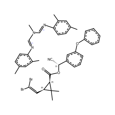 CC1(C)[C@H](C(=O)O[C@H](C#N)c2cccc(Oc3ccccc3)c2)[C@@H]1C=C(Br)Br.Cc1ccc(/N=C/N(C)/C=N/c2ccc(C)cc2C)c(C)c1